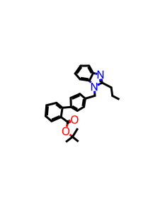 CCCc1nc2ccccc2n1Cc1ccc(-c2ccccc2C(=O)OC(C)(C)C)cc1